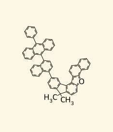 CC1(C)c2ccc(-c3ccc(-c4c5ccccc5c(-c5ccccc5)c5ccccc45)c4ccccc34)cc2-c2c1ccc1oc3c4ccccc4ccc3c21